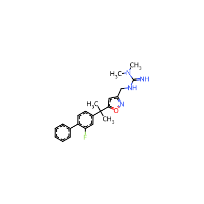 CN(C)C(=N)NCc1cc(C(C)(C)c2ccc(-c3ccccc3)c(F)c2)on1